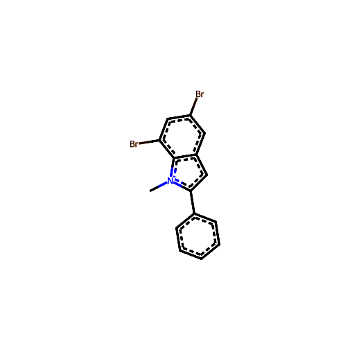 Cn1c(-c2ccccc2)cc2cc(Br)cc(Br)c21